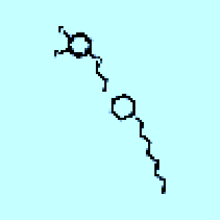 CCCCCCCC[C@H]1CC[C@H](CCCOc2ccc(F)c(F)c2)CC1